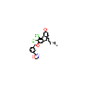 CCCC12CCC(=O)C=C1c1c(cc(OCc3cccc(C4=NCCO4)c3)c(Cl)c1Cl)C2